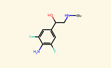 CC(C)(C)NCC(O)c1cc(F)c(N)c(F)c1